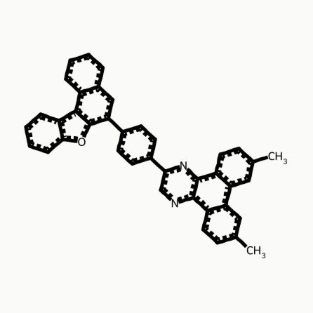 Cc1ccc2c(c1)c1cc(C)ccc1c1nc(-c3ccc(-c4cc5ccccc5c5c4oc4ccccc45)cc3)cnc21